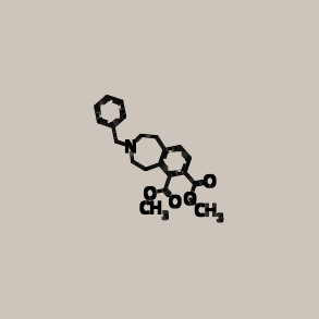 COC(=O)c1ccc2c(c1C(=O)OC)CCN(Cc1ccccc1)CC2